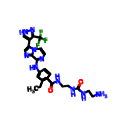 CCc1cc(Nc2nccn3c(-c4c[nH]nc4C(F)(F)F)cnc23)ccc1C(=O)NCCNC(=O)NCCN